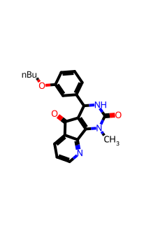 CCCCOc1cccc(C2NC(=O)N(C)C3=C2C(=O)c2cccnc23)c1